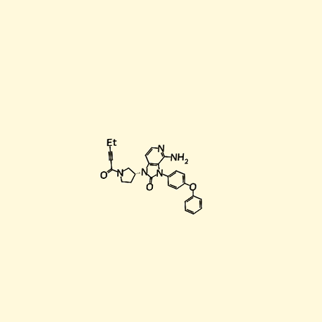 CCC#CC(=O)N1CC[C@@H](n2c(=O)n(-c3ccc(Oc4ccccc4)cc3)c3c(N)nccc32)C1